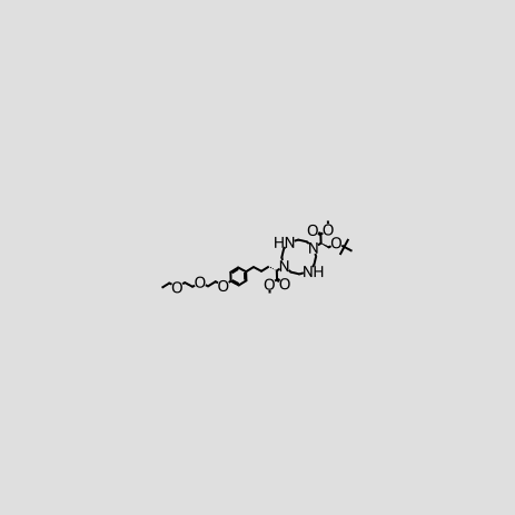 CCOCCOCCOc1ccc(CCC[C@@H](C(=O)OC)N2CCNCCN([C@H](COC(C)(C)C)C(=O)OC)CCNCC2)cc1